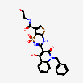 O=C(NCCO)c1csc2c1S(=O)(=O)N=C(c1c(O)c3ccccc3n(Cc3ccccc3)c1=O)N2